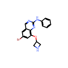 Brc1cc(OC2CNC2)c2nc(Nc3ccccc3)ncc2c1